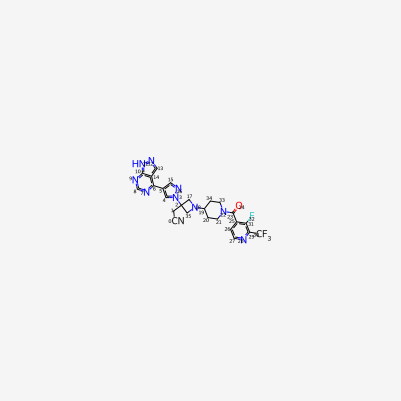 N#CCC1(n2cc(-c3ncnc4[nH]ncc34)cn2)CN(C2CCN(C(=O)c3ccnc(C(F)(F)F)c3F)CC2)C1